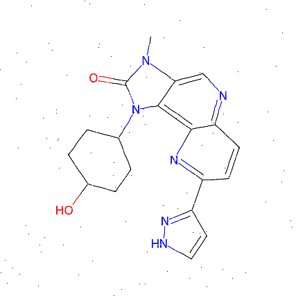 Cn1c(=O)n(C2CCC(O)CC2)c2c3nc(-c4cc[nH]n4)ccc3ncc21